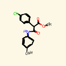 CCCOC(=O)C(C(=O)Nc1ccc(OC)cc1)c1ccc(Cl)cc1